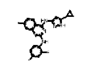 Cc1ccc2c(Nc3cc(C4CC4)[nH]n3)nc(Nc3ccc(F)cc3F)nc2c1